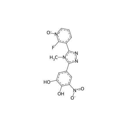 Cn1c(-c2cc(O)c(O)c([N+](=O)[O-])c2)nnc1-c1ccc[n+]([O-])c1F